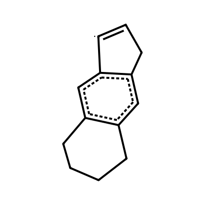 [C]1=CCc2cc3c(cc21)CCCC3